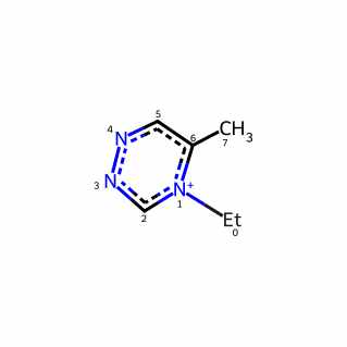 CC[n+]1cnncc1C